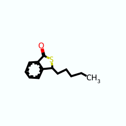 CCCCCC1SC(=O)c2ccccc21